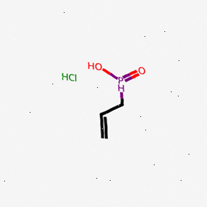 C=CC[PH](=O)O.Cl